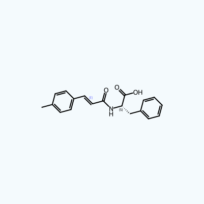 Cc1ccc(/C=C/C(=O)N[C@@H](Cc2ccccc2)C(=O)O)cc1